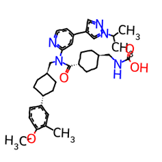 COc1ccc([C@H]2CC[C@H](CN(c3cc(-c4cnn(C(C)C)c4)ccn3)C(=O)[C@H]3CC[C@H](CNC(=O)O)CC3)CC2)cc1C